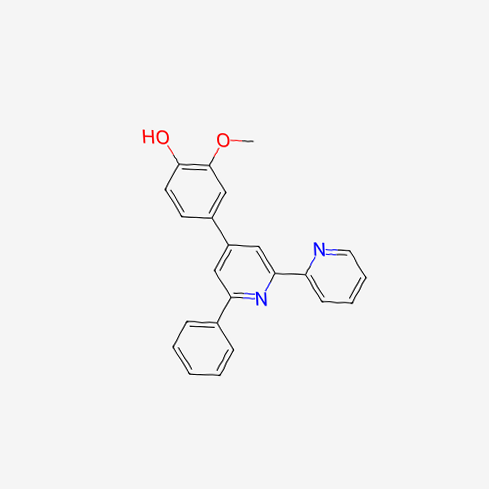 COc1cc(-c2cc(-c3ccccc3)nc(-c3ccccn3)c2)ccc1O